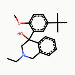 CCN1Cc2ccccc2C(O)(c2cc(C(C)(C)C)ccc2OC)C1